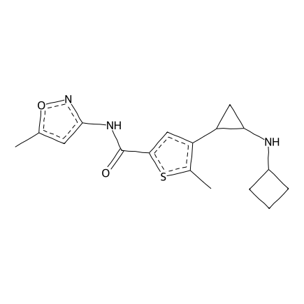 Cc1cc(NC(=O)c2cc(C3CC3NC3CCC3)c(C)s2)no1